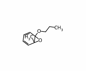 CCCOC12C=CC=CC1(C)O2